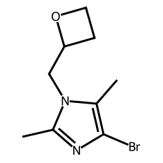 Cc1nc(Br)c(C)n1CC1CCO1